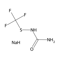 NC(=O)NSC(F)(F)F.[NaH]